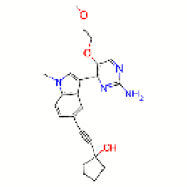 COCCOc1cnc(N)nc1-c1cn(C)c2ccc(C#CC3(O)CCCC3)cc12